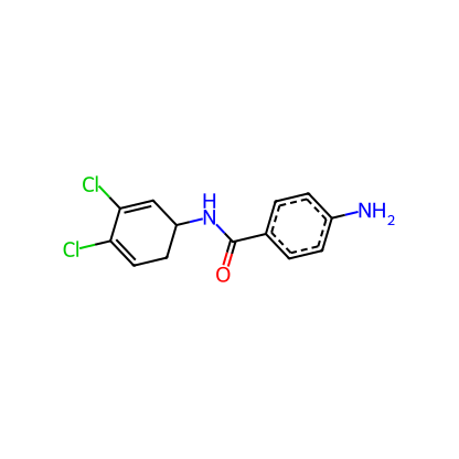 Nc1ccc(C(=O)NC2C=C(Cl)C(Cl)=CC2)cc1